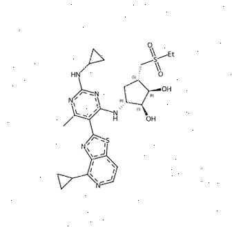 CCS(=O)(=O)C[C@H]1C[C@@H](Nc2nc(NC3CC3)nc(C)c2-c2nc3c(C4CC4)nccc3s2)[C@H](O)[C@@H]1O